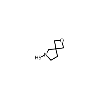 SN1CCC2(COC2)C1